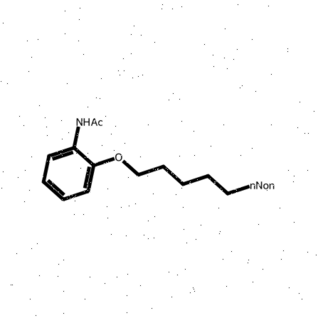 CCCCCCCCCCCCCCOc1ccccc1NC(C)=O